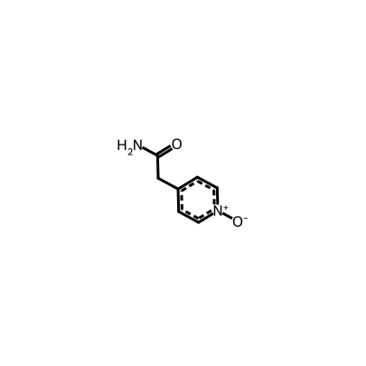 NC(=O)Cc1cc[n+]([O-])cc1